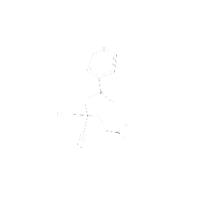 CC(C#N)(CCC(=O)O)SC(=S)c1ccccc1